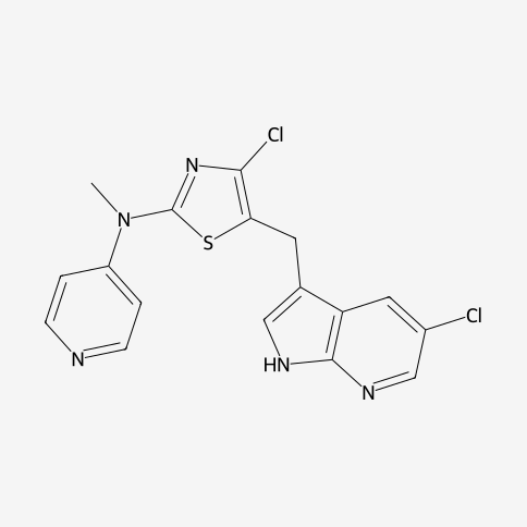 CN(c1ccncc1)c1nc(Cl)c(Cc2c[nH]c3ncc(Cl)cc23)s1